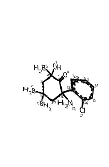 BC1(B)CC(B)(O)C(=O)C(N)(c2ccccc2Cl)C1